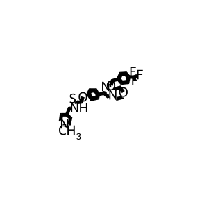 CN1CCC(CNC(=S)COc2ccc(C(CN3CCOCC3)=NOCc3ccc(C(F)(F)F)cc3)cc2)CC1